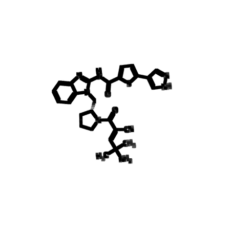 CC(C)(N)C=C(C#N)C(=O)N1CCC[C@@H]1Cn1c(NC(=O)c2ccc(-c3cn[nH]c3)s2)nc2ccccc21